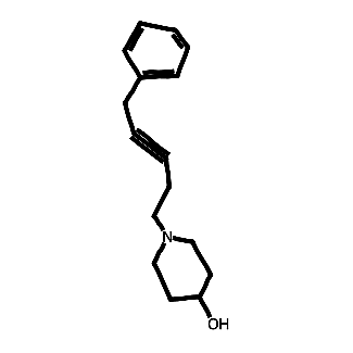 OC1CCN(CCC#CCc2ccccc2)CC1